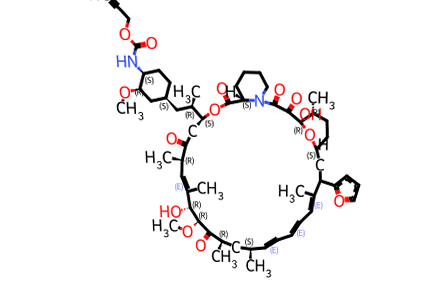 C#CCOC(=O)N[C@H]1CC[C@@H](C[C@@H](C)[C@@H]2CC(=O)[C@H](C)/C=C(\C)[C@@H](O)[C@@H](OC)C(=O)[C@H](C)C[C@H](C)/C=C/C=C/C=C(\C)C(c3ccco3)C[C@@H]3CC[C@@H](C)[C@@](O)(O3)C(=O)C(=O)N3CCCC[C@H]3C(=O)O2)C[C@H]1OC